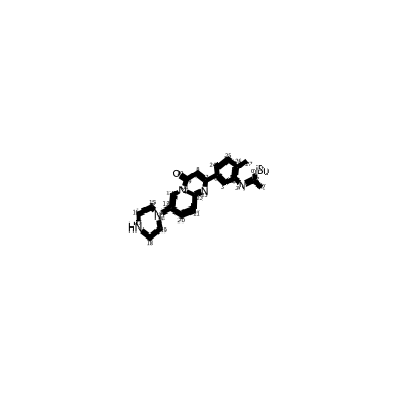 CCC(C)/C(C)=N\c1cc(-c2cc(=O)n3cc(N4CCNCC4)ccc3n2)ccc1C